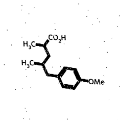 COc1ccc(CC(C)CC(C)C(=O)O)cc1